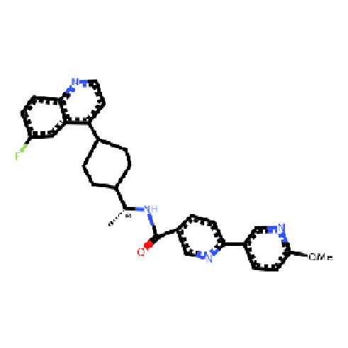 COc1ccc(-c2ccc(C(=O)N[C@H](C)C3CCC(c4ccnc5ccc(F)cc45)CC3)cn2)cn1